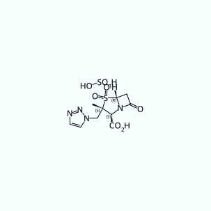 C[C@]1(Cn2ccnn2)[C@H](C(=O)O)N2C(=O)C[C@H]2S1(=O)=O.O=S(=O)(O)O